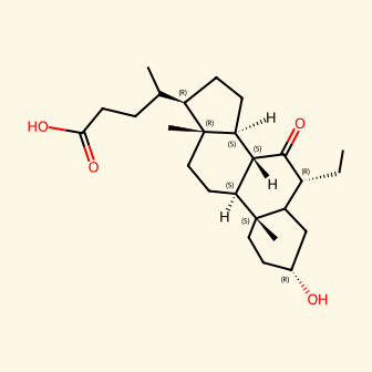 CC[C@H]1C(=O)[C@H]2[C@@H]3CC[C@H](C(C)CCC(=O)O)[C@@]3(C)CC[C@@H]2[C@@]2(C)CC[C@@H](O)CC12